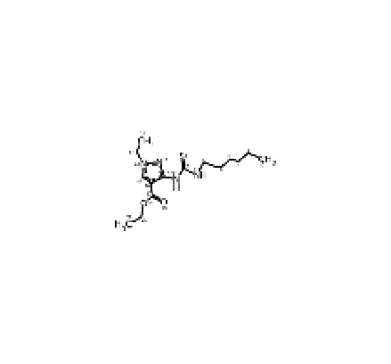 CCCCCCNC(=S)Nc1nn(CC)cc1C(=O)OCC